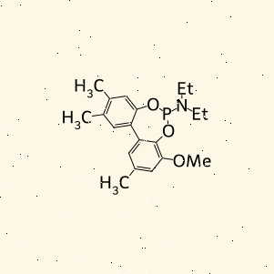 CCN(CC)p1oc2cc(C)c(C)cc2c2cc(C)cc(OC)c2o1